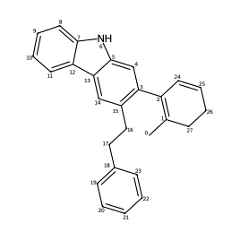 CC1=C(c2cc3[nH]c4ccccc4c3cc2CCc2ccccc2)C=CCC1